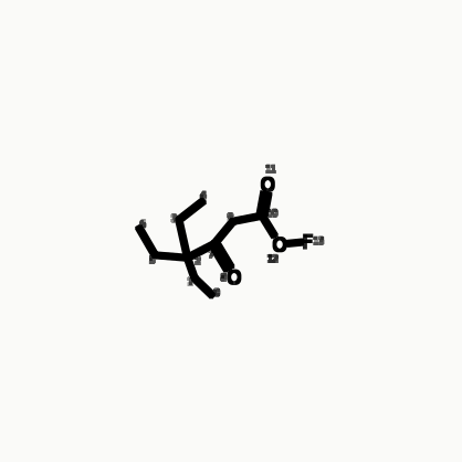 CCC(CC)(CC)C(=O)CC(=O)OF